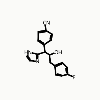 N#Cc1ccc(C(c2ncc[nH]2)C(O)Cc2ccc(F)cc2)cc1